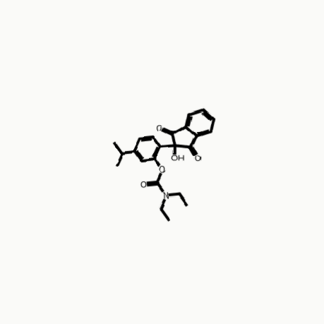 CCN(CC)C(=O)Oc1cc(C(C)C)ccc1C1(O)C(=O)c2ccccc2C1=O